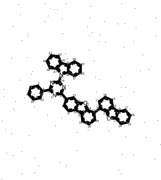 c1ccc(-c2nc(-c3ccc4c(c3)oc3c(-c5cccc6c5oc5ccccc56)cccc34)nc(-n3c4ccccc4c4ccccc43)n2)cc1